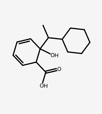 CC(C1CCCCC1)C1(O)C=CC=CC1C(=O)O